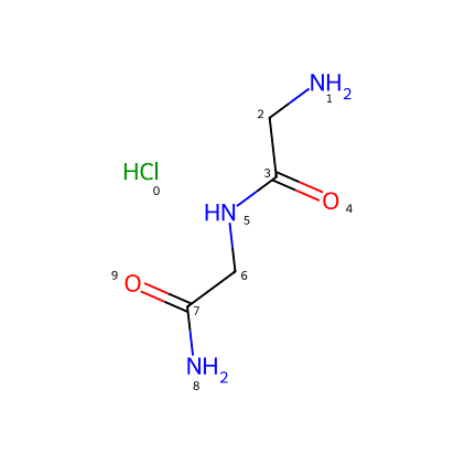 Cl.NCC(=O)NCC(N)=O